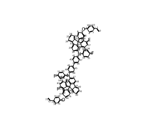 C=Cc1ccc(Oc2ccc(C3(c4c(F)c(F)cc(F)c4F)c4ccccc4-c4ccc(N(c5ccc(F)cc5)c5ccc(-c6ccc(N(c7ccc(F)cc7)c7ccc8c(c7)C(c7ccc(Oc9ccc(C=C)cc9)cc7)(c7c(F)c(F)cc(F)c7F)c7ccccc7-8)cc6)cc5)cc43)cc2)cc1